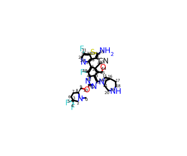 CN1CC(F)(F)CC[C@H]1COc1nc(N2CC3CCNCC2C3)c2c3c(c(-c4ncc(F)c5sc(N)c(C#N)c45)c(F)c2n1)COC3